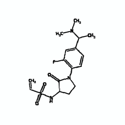 C=CS(=O)(=O)NC1CCN(c2ccc(C(C)N(C)C)cc2F)C1=O